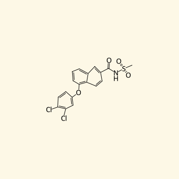 CS(=O)(=O)NC(=O)c1ccc2c(Oc3ccc(Cl)c(Cl)c3)cccc2c1